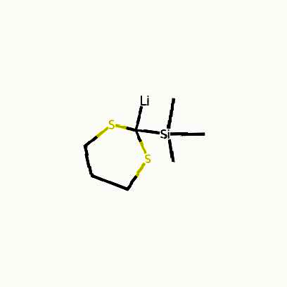 [Li][C]1([Si](C)(C)C)SCCCS1